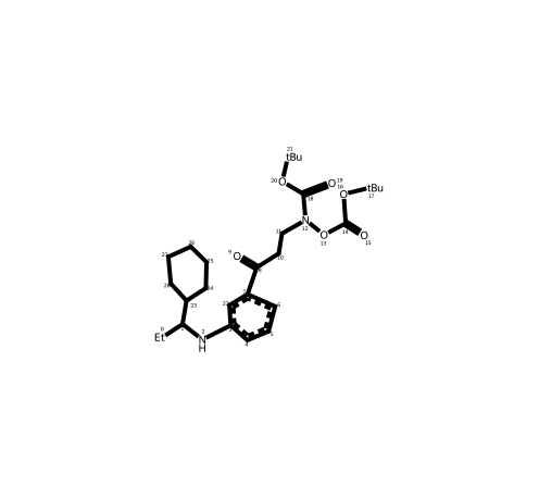 CCC(Nc1cccc(C(=O)CCN(OC(=O)OC(C)(C)C)C(=O)OC(C)(C)C)c1)C1CCCCC1